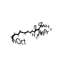 CCCCCCCC/C=C\CCCCCCCC(=O)C(C(N)=O)N(C)CCC